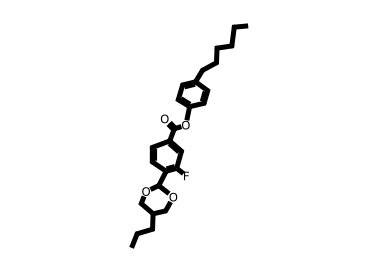 CCCCCCc1ccc(OC(=O)c2ccc(C3OCC(CCC)CO3)c(F)c2)cc1